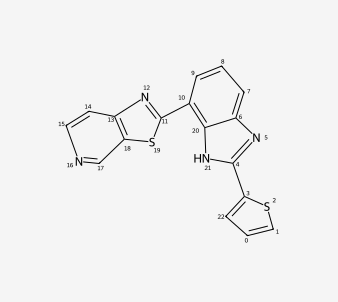 c1csc(-c2nc3cccc(-c4nc5ccncc5s4)c3[nH]2)c1